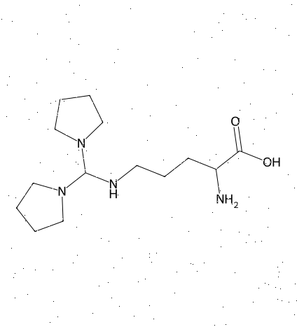 NC(CCCNC(N1CCCC1)N1CCCC1)C(=O)O